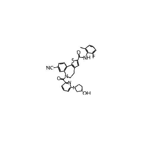 Cc1cccc(F)c1NC(=O)c1cc2c(s1)-c1ccc(C#N)cc1N(C(=O)c1cccc(N3CC[C@H](O)C3)n1)CC2